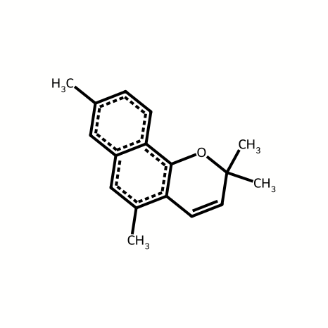 Cc1ccc2c3c(c(C)cc2c1)C=CC(C)(C)O3